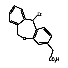 CCC1c2ccccc2COc2cc(CC(=O)O)ccc21